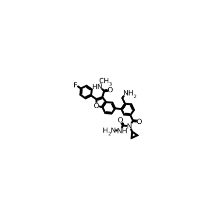 CNC(=O)c1c(-c2ccc(F)cc2)oc2ccc(-c3cc(C(=O)N(C(=O)NN)C4CC4)ccc3CN)cc12